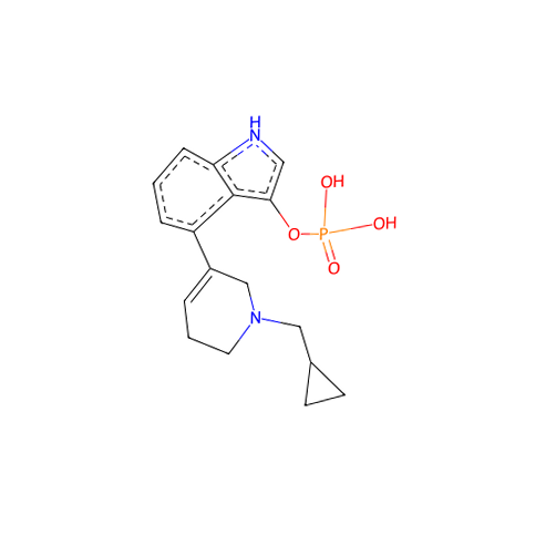 O=P(O)(O)Oc1c[nH]c2cccc(C3=CCCN(CC4CC4)C3)c12